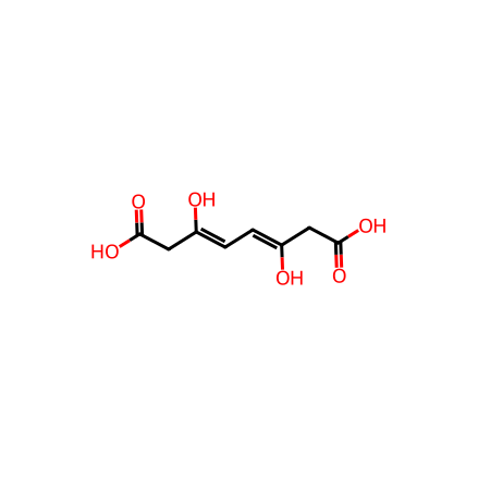 O=C(O)CC(O)=CC=C(O)CC(=O)O